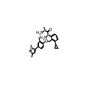 Cc1cc(-c2ccc(OCc3c(C4CC4)cccc3N(N)C(=O)N(C)N)c(C)c2)n(C)n1